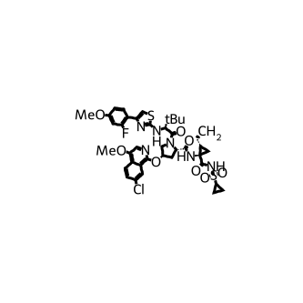 C=C[C@@H]1C[C@]1(NC(=O)[C@@H]1C[C@@H](Oc2ncc(OC)c3ccc(Cl)cc23)CN1C(=O)[C@@H](Nc1nc(-c2ccc(OC)cc2F)cs1)C(C)(C)C)C(=O)NS(=O)(=O)C1CC1